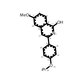 COc1ccc2c(O)nc(-c3ccc(OC(C)C)cc3)cc2c1